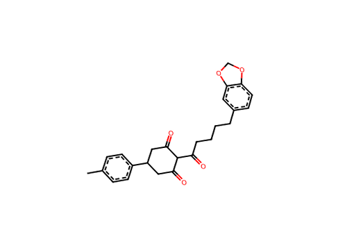 Cc1ccc(C2CC(=O)C(C(=O)CCCCc3ccc4c(c3)OCO4)C(=O)C2)cc1